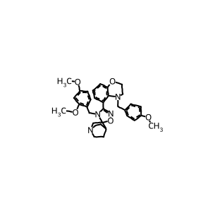 COc1ccc(CN2CCOc3cccc(C4=NOC5(CN6CCC5CC6)N4Cc4ccc(OC)cc4OC)c32)cc1